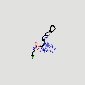 Cc1nc(/C(N)=C(\COC(=O)N(C)CCC(C)(C)F)N(C)N)ccc1CC1CCCCC1